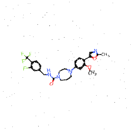 COc1cc(N2CCCN(C(=O)NCc3ccc(C(F)(F)F)c(F)c3)CC2)ccc1-c1cnc(C)o1